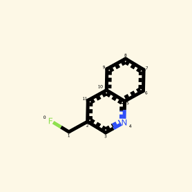 FCc1cnc2cc[c]cc2c1